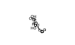 COc1cccc(OC/C=C/[C@@H]2[C@H]3CC[C@H](c4nc(C(=O)O)cs4)O[C@H]3C[C@H]2O)c1